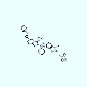 CC1c2cc(OCc3ccccc3)ccc2OC1C(Nc1ccc(C(=O)NCCC(=O)O)cc1)C1CCCCC1